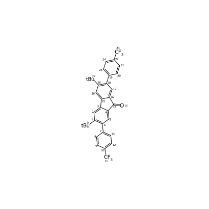 CC(C)(C)c1cc2c(cc1-c1ccc(C(F)(F)F)cc1)C(=O)c1cc(-c3ccc(C(F)(F)F)cc3)c(C(C)(C)C)cc1-2